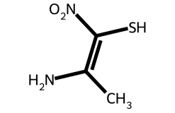 CC(N)=C(S)[N+](=O)[O-]